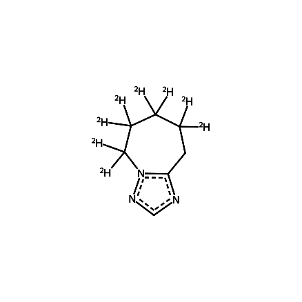 [2H]C1([2H])Cc2ncnn2C([2H])([2H])C([2H])([2H])C1([2H])[2H]